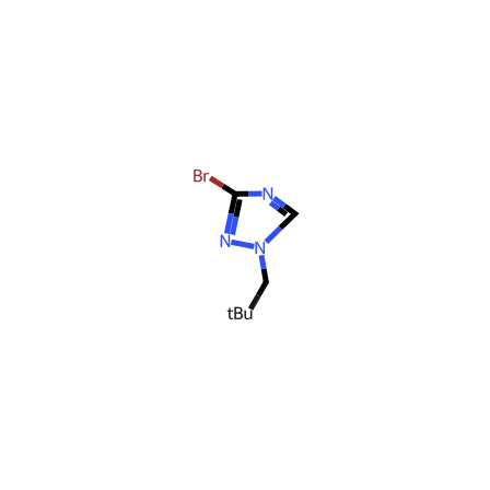 CC(C)(C)Cn1cnc(Br)n1